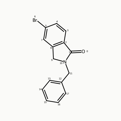 O=C1c2ccc(Br)cc2CN1Cc1ccccc1